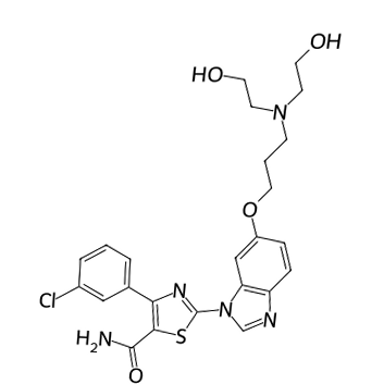 NC(=O)c1sc(-n2cnc3ccc(OCCCN(CCO)CCO)cc32)nc1-c1cccc(Cl)c1